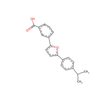 CC(C)c1ccc(-c2ccc(-c3cccc(C(=O)O)c3)o2)cc1